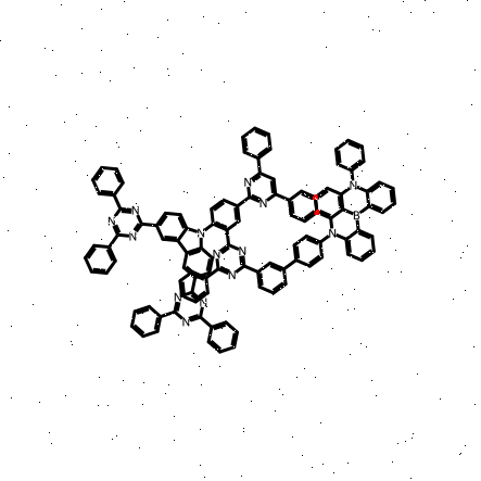 c1ccc(-c2cc(-c3ccccc3)nc(-c3ccc(-n4c5ccc(-c6nc(-c7ccccc7)nc(-c7ccccc7)n6)cc5c5cc(-c6nc(-c7ccccc7)nc(-c7ccccc7)n6)ccc54)c(-c4nc(-c5ccccc5)nc(-c5cccc(-c6ccc(N7c8ccccc8B8c9ccccc9N(c9ccccc9)c9cccc7c98)cc6)c5)n4)c3)n2)cc1